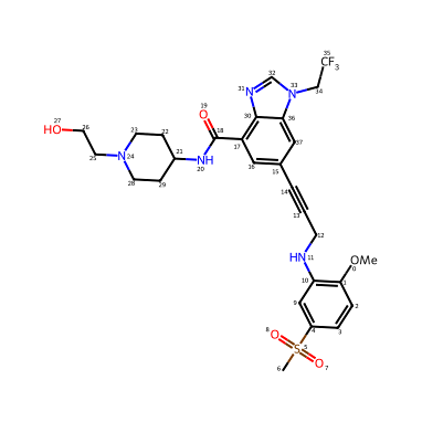 COc1ccc(S(C)(=O)=O)cc1NCC#Cc1cc(C(=O)NC2CCN(CCO)CC2)c2ncn(CC(F)(F)F)c2c1